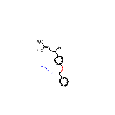 CC(C)=CCC(c1ccc(OCc2ccccc2)cc1)C(C)C.NN